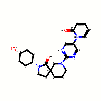 O=C1N([C@H]2CC[C@@H](O)CC2)CCC12CCCN(c1ncc(-n3ccccc3=O)cn1)C2